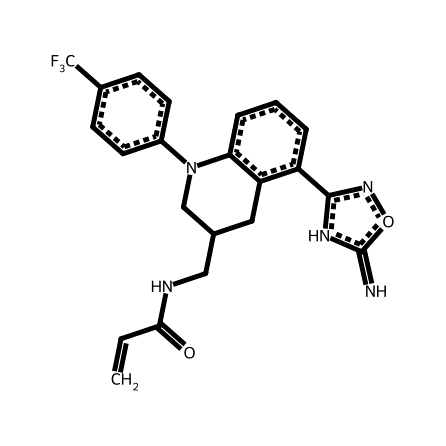 C=CC(=O)NCC1Cc2c(-c3noc(=N)[nH]3)cccc2N(c2ccc(C(F)(F)F)cc2)C1